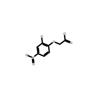 O=C(Cl)COc1ccc([N+](=O)[O-])cc1Cl